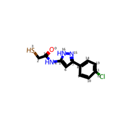 O=C(CS)Nc1cc(-c2ccc(Cl)cc2)n[nH]1